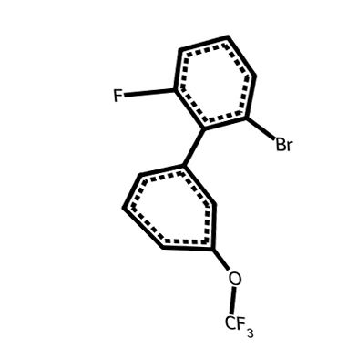 Fc1cccc(Br)c1-c1cccc(OC(F)(F)F)c1